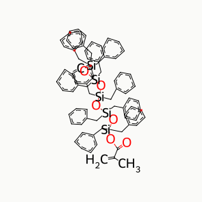 C=C(C)C(=O)O[Si](Cc1ccccc1)(Cc1ccccc1)O[Si](Cc1ccccc1)(Cc1ccccc1)O[Si](Cc1ccccc1)(Cc1ccccc1)O[Si](Cc1ccccc1)(Cc1ccccc1)O[Si](Cc1ccccc1)(Cc1ccccc1)Cc1ccccc1